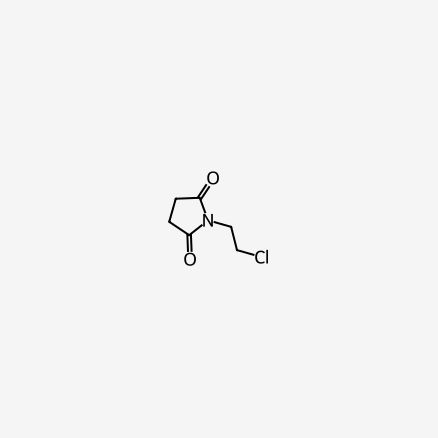 O=C1CCC(=O)N1CCCl